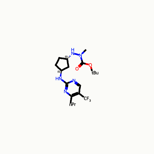 CCCc1nc(N[C@H]2CC[C@H](NN(C)C(=O)OC(C)(C)C)C2)ncc1C(F)(F)F